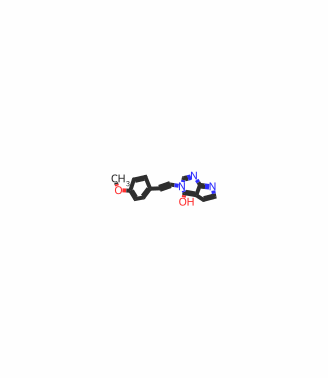 COc1ccc(C#Cn2cnc3nccc-3c2O)cc1